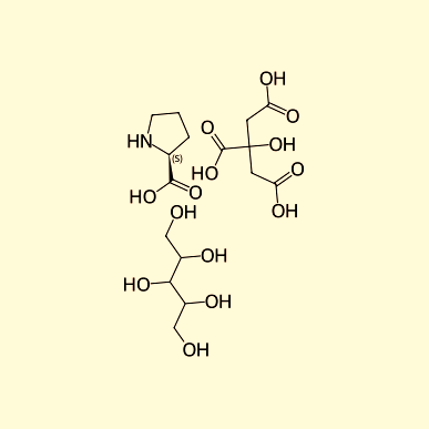 O=C(O)CC(O)(CC(=O)O)C(=O)O.O=C(O)[C@@H]1CCCN1.OCC(O)C(O)C(O)CO